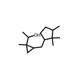 CC1CCC(CC2CC2(C)C(C)O)C1(C)C